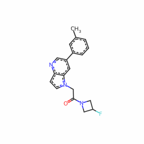 Cc1cccc(-c2cnc3ccn(CC(=O)N4CC(F)C4)c3c2)c1